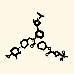 COc1ccc([C@H]2CC[C@H](CN(c3cccc(-c4cnn(C(C)C)c4)c3)C(=O)[C@H]3CC[C@H](OC(=O)N4CC(S(C)(=O)=O)C4)CC3)CC2)nc1C